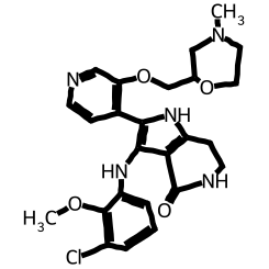 COc1c(Cl)cccc1Nc1c(-c2ccncc2OCC2CN(C)CCO2)[nH]c2c1C(=O)NCC2